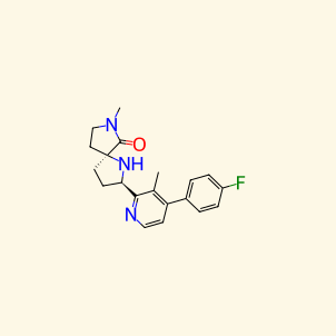 Cc1c(-c2ccc(F)cc2)ccnc1[C@H]1CC[C@@]2(CCN(C)C2=O)N1